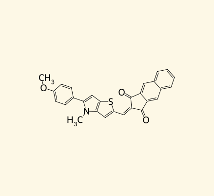 COc1ccc(-c2cc3sc(C=C4C(=O)c5cc6ccccc6cc5C4=O)cc3n2C)cc1